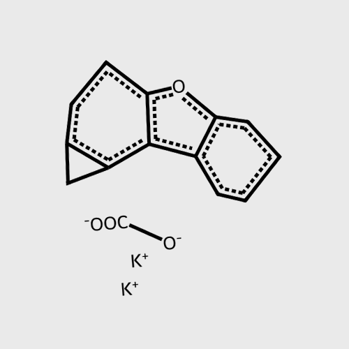 O=C([O-])[O-].[K+].[K+].c1ccc2c(c1)oc1ccc3c(c12)C3